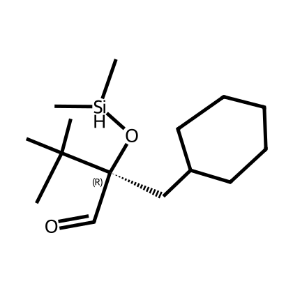 C[SiH](C)O[C@](C=O)(CC1CCCCC1)C(C)(C)C